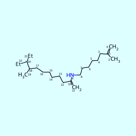 C=C(C)CCCCCCNC(=C)CCCCCCC(C)C(CC)CC